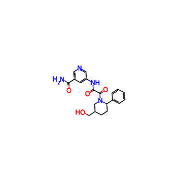 NC(=O)c1cncc(NC(=O)C(=O)N2CC(CO)CCC2c2ccccc2)c1